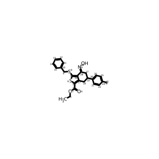 CCOC(=O)c1sc(SCc2ccccc2)c2c1CC(c1ccc(F)cc1)C/C2=N\O